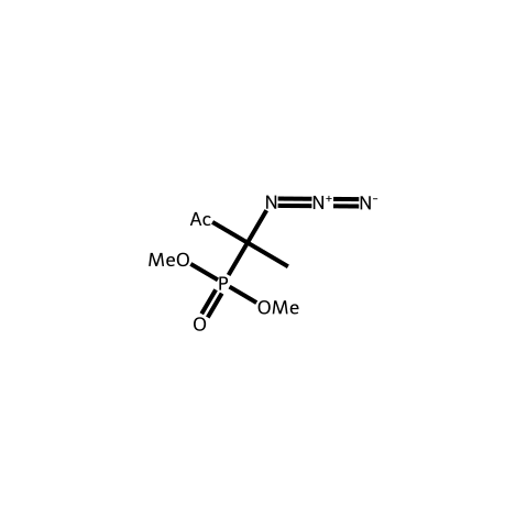 COP(=O)(OC)C(C)(N=[N+]=[N-])C(C)=O